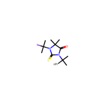 CCCC(C)(C)N1C(=O)C(C)(C)N(C(C)(C)I)C1=S